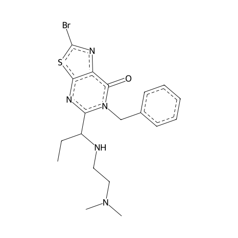 CCC(NCCN(C)C)c1nc2sc(Br)nc2c(=O)n1Cc1ccccc1